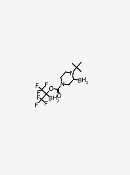 BC1CN(C(=O)OC(B)(C(F)(F)F)C(F)(F)F)CCN1C(C)(C)C